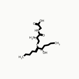 CCCCC=C(SC[C@H](N)C(=O)NCC(=O)O)[C@@H](O)CCCC